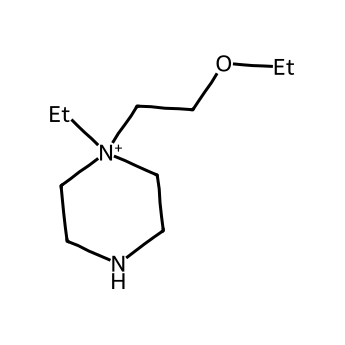 CCOCC[N+]1(CC)CCNCC1